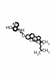 CC(C)CCC[C@@H](C)C1CCC2C3CC=C4C[C@@H](OCCNc5ccc(O)c6ncccc56)CC[C@]4(C)C3CC[C@@]21C